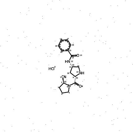 Cl.N#C[C@@H]1CCCN1C(=O)[C@@H]1C[C@H](NC(=O)c2ccccc2)CN1